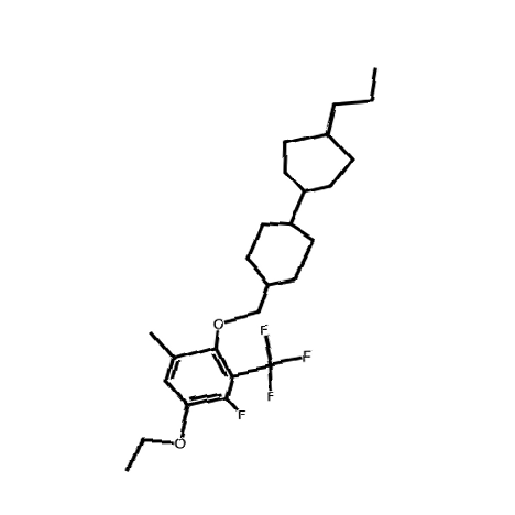 CCCC1CCC(C2CCC(COc3c(C)cc(OCC)c(F)c3C(F)(F)F)CC2)CC1